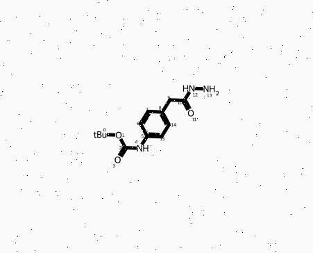 CC(C)(C)OC(=O)Nc1ccc(CC(=O)NN)cc1